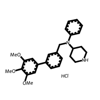 COc1cc(-c2cccc(CN(c3ccccc3)C3CCNCC3)c2)cc(OC)c1OC.Cl